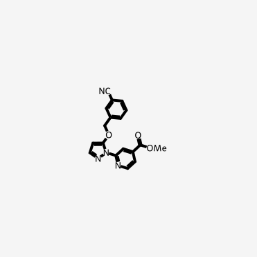 COC(=O)c1ccnc(-n2nccc2OCc2cccc(C#N)c2)c1